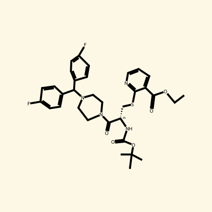 CCOC(=O)c1cccnc1SC[C@H](NC(=O)OC(C)(C)C)C(=O)N1CCN(C(c2ccc(F)cc2)c2ccc(F)cc2)CC1